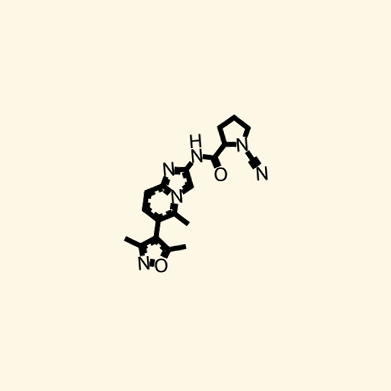 Cc1noc(C)c1-c1ccc2nc(NC(=O)C3CCCN3C#N)cn2c1C